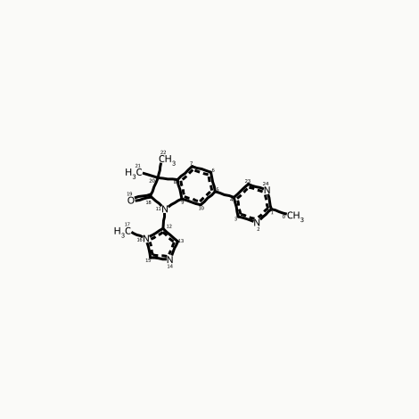 Cc1ncc(-c2ccc3c(c2)N(c2cncn2C)C(=O)C3(C)C)cn1